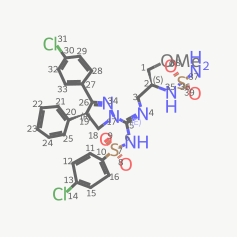 COC[C@H](C/N=C(/NS(=O)(=O)c1ccc(Cl)cc1)N1C[C@@H](c2ccccc2)C(c2ccc(Cl)cc2)=N1)NS(N)(=O)=O